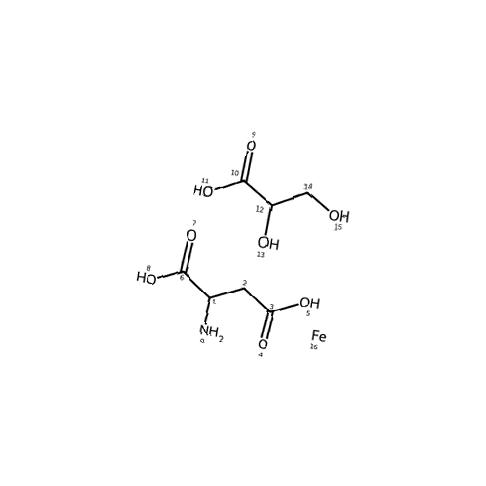 NC(CC(=O)O)C(=O)O.O=C(O)C(O)CO.[Fe]